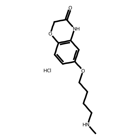 CNCCCCOc1ccc2c(c1)NC(=O)CO2.Cl